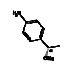 CO[C@@H](C)c1ccc(N)cc1